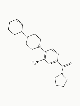 O=C(c1ccc(N2CCC(C3C=CCCC3)CC2)c([N+](=O)[O-])c1)N1CCCC1